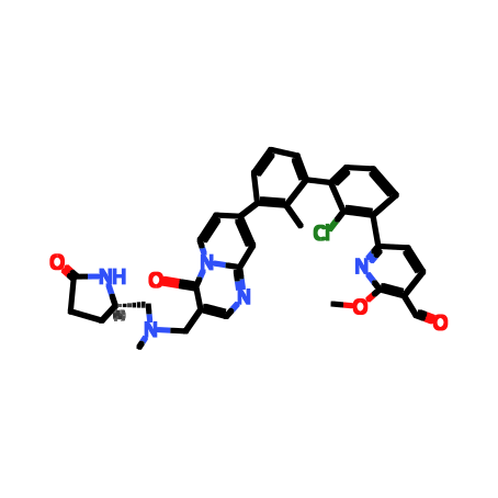 COc1nc(-c2cccc(-c3cccc(-c4ccn5c(=O)c(CN(C)C[C@@H]6CCC(=O)N6)cnc5c4)c3C)c2Cl)ccc1C=O